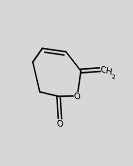 C=C1C=CCCC(=O)O1